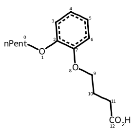 CCCCCOc1ccccc1OCCCC(=O)O